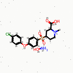 CN1CCC(S(=O)(=O)c2ccc(Oc3ccc(Cl)cc3)cc2)CC1C(=O)O.NO